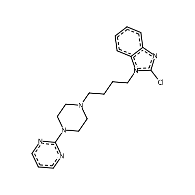 Clc1nc2ccccc2n1CCCCN1CCN(c2ncccn2)CC1